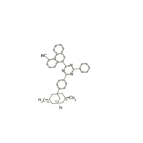 C[C@@H]1C[C@@H]2C[C@H](C)CC(c3ccc(-c4nc(-c5ccccc5)nc(-c5cc6ccccc6c6c(C#N)cccc56)n4)cc3)(C1)C2